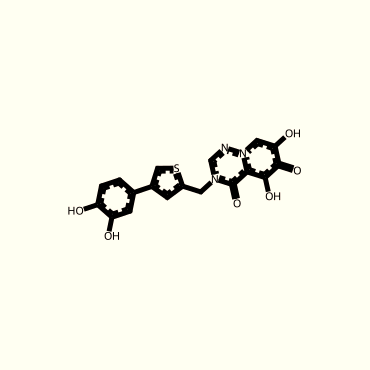 O=c1c(O)cn2ncn(Cc3cc(-c4ccc(O)c(O)c4)cs3)c(=O)c2c1O